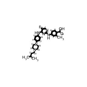 Cc1cc(Nc2ncc(F)c(Nc3ccc(N4CCN(CCC(C)C)CC4)cc3)n2)ccc1C(=O)O